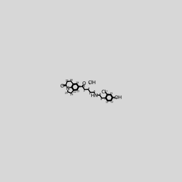 Cl.O=C(CCCCNCCc1ccc(O)cc1Cl)c1cc2c3c(c1)CCN3C(=O)CC2